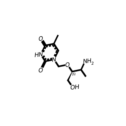 Cc1cn(CO[C@H](CO)C(C)N)c(=O)[nH]c1=O